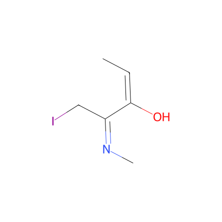 C/C=C(O)\C(CI)=N/C